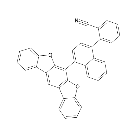 N#Cc1ccccc1-c1ccc(-c2c3oc4ccccc4c3cc3c2oc2ccccc23)c2ccccc12